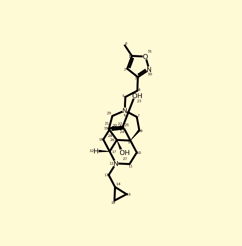 Cc1cc(CCN2CC[C@]34CCN(CC5CC5)[C@H](Cc5ccc(O)cc53)[C@]4(O)CC2)no1